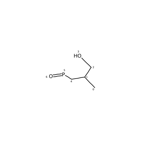 CC(CO)CP=O